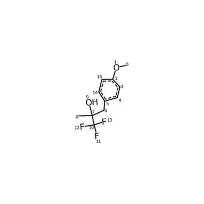 COc1ccc(CC(C)(O)C(F)(F)F)cc1